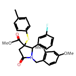 COC(=O)C1(Sc2ccc(C)cc2)CC(=O)N(Cc2ccc(OC)cc2OC)C1c1cccc(F)c1